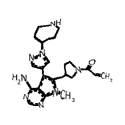 C=CC(=O)N1CCC(c2c(-c3cnn(C4CCNCC4)c3)c3c(N)ncnc3n2C)C1